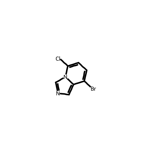 Clc1ccc(Br)c2cncn12